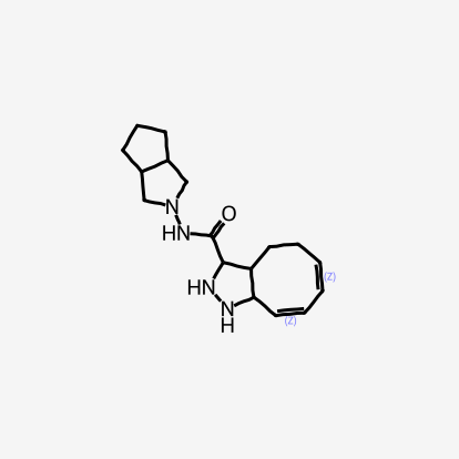 O=C(NN1CC2CCCC2C1)C1NNC2/C=C\C=C/CCC21